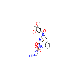 COc1cc(C(=O)N(CCCc2ccccc2)Cc2nc(C(=O)NS(=O)(=O)N3CCNCC3)cs2)cc(OC)c1C